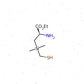 CCOC(=O)[C@@H](N)C[Si](C)(C)CS